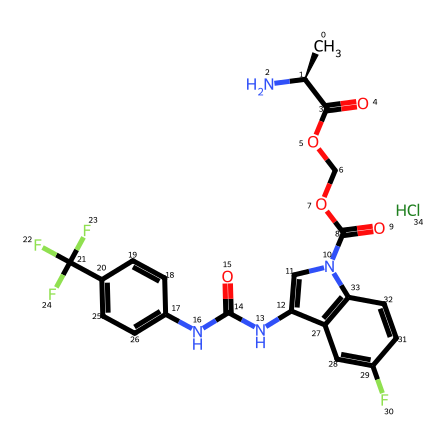 C[C@H](N)C(=O)OCOC(=O)n1cc(NC(=O)Nc2ccc(C(F)(F)F)cc2)c2cc(F)ccc21.Cl